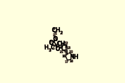 C=CCOC(=O)C(C)(C)Oc1cccc(C2CCCNC2)c1